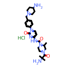 CC1CN(C(=O)C(C)(C)N)CCN1C(=O)Nc1ccn(-c2ccc(CN3CCC(N)CC3)cc2)c(=O)n1.Cl